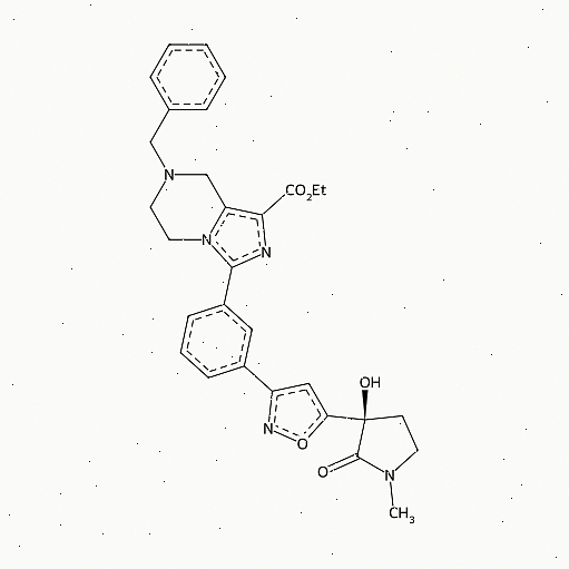 CCOC(=O)c1nc(-c2cccc(-c3cc([C@]4(O)CCN(C)C4=O)on3)c2)n2c1CN(Cc1ccccc1)CC2